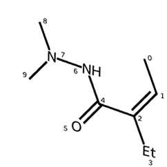 CC=C(CC)C(=O)NN(C)C